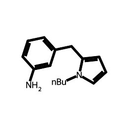 CCCCn1cccc1Cc1cccc(N)c1